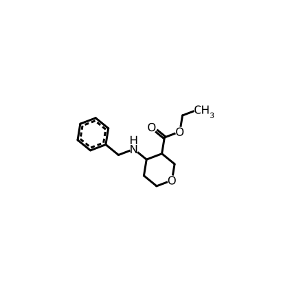 CCOC(=O)C1COCCC1NCc1ccccc1